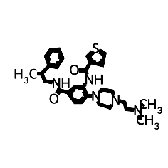 CC(CNC(=O)c1ccc(N2CCN(CCN(C)C)CC2)c(NC(=O)c2ccsc2)c1)c1ccccc1